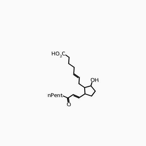 CCCCCC(=O)C=CC1CCC(O)C1CC=CCCCC(=O)O